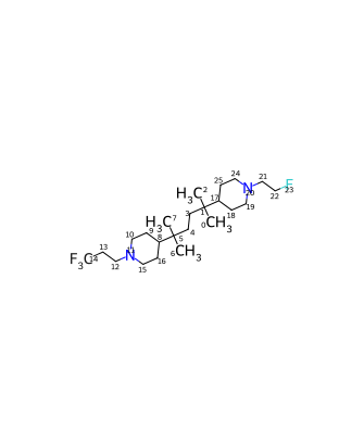 CC(C)(CCC(C)(C)C1CCN(CCC(F)(F)F)CC1)C1CCN(CCF)CC1